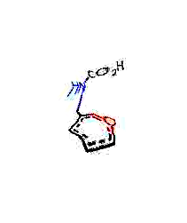 O=C(O)Nc1ccco1